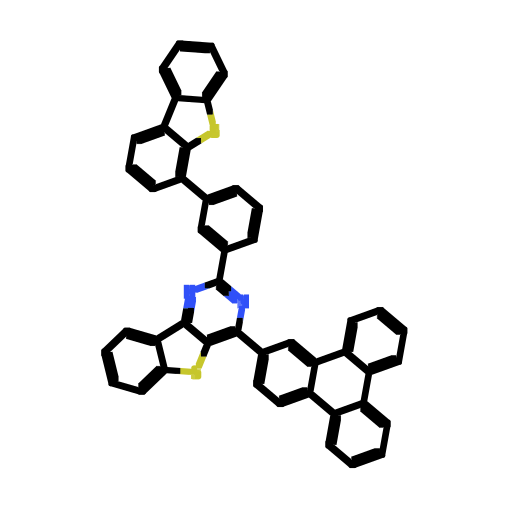 c1cc(-c2nc(-c3ccc4c5ccccc5c5ccccc5c4c3)c3sc4ccccc4c3n2)cc(-c2cccc3c2sc2ccccc23)c1